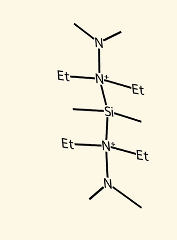 CC[N+](CC)(N(C)C)[Si](C)(C)[N+](CC)(CC)N(C)C